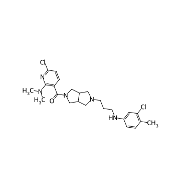 Cc1ccc(NCCCN2CC3CN(C(=O)c4ccc(Cl)nc4N(C)C)CC3C2)cc1Cl